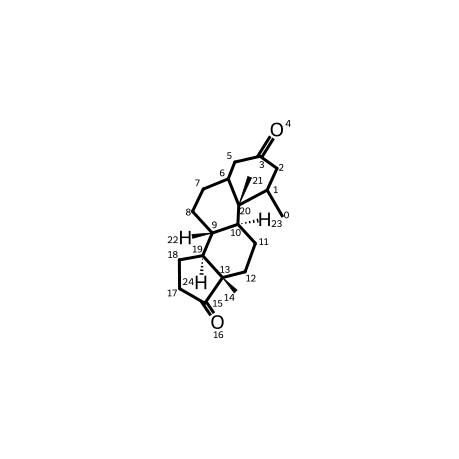 CC1CC(=O)CC2CC[C@@H]3[C@H](CC[C@]4(C)C(=O)CC[C@@H]34)[C@@]12C